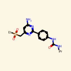 CCS(=O)(=O)Cc1cc(N)nc(-c2ccc(NC(=O)NC(C)C)cc2)n1